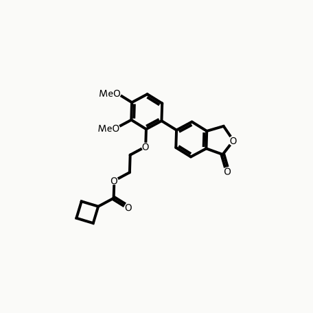 COc1ccc(-c2ccc3c(c2)COC3=O)c(OCCOC(=O)C2CCC2)c1OC